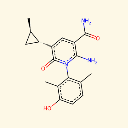 Cc1ccc(O)c(C)c1-n1c(N)c(C(N)=O)cc([C@@H]2C[C@H]2C)c1=O